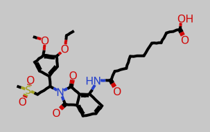 CCOc1cc(C(CS(C)(=O)=O)N2C(=O)c3cccc(NC(=O)CCCCCCCC(=O)O)c3C2=O)ccc1OC